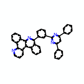 c1ccc(-c2cc(-c3ccccc3)nc(-c3cccc(-c4nc5c6ccccc6c6ncccc6c5c5ccccc45)c3)n2)cc1